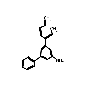 C=C/C=C\C(=C/C)c1cc(N)cc(-c2ccccc2)c1